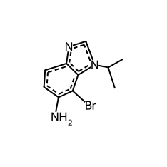 CC(C)n1cnc2ccc(N)c(Br)c21